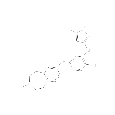 CCN1CCc2ccc(Nc3ncc(Cl)c(Nc4cc(C)[nH]n4)n3)cc2CC1